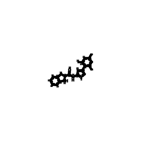 Cc1cc(C)c(-c2csc(NC(=O)C3Cc4ccccc4N3)n2)c(C)c1